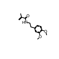 C=C(C)C(=O)NCCc1ccc(OC)c(OC)c1